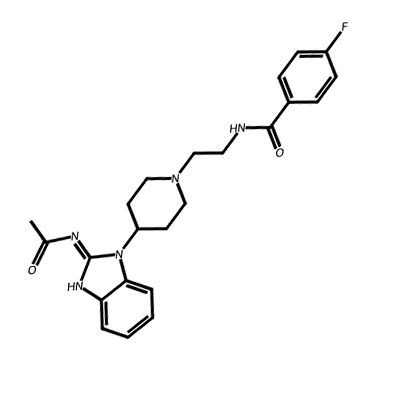 CC(=O)/N=c1\[nH]c2ccccc2n1C1CCN(CCNC(=O)c2ccc(F)cc2)CC1